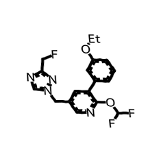 CCOc1cccc(-c2cc(Cn3cnc(CF)n3)cnc2OC(F)F)c1